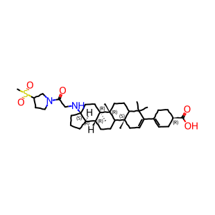 CC1(C)C(C2=CC[C@H](C(=O)O)CC2)=CC[C@@]2(C)C1CC[C@]1(C)C2CC[C@@H]2[C@H]3CCC[C@]3(NCC(=O)N3CCC(S(C)(=O)=O)C3)CC[C@]21C